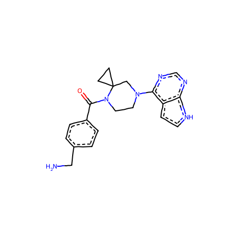 NCc1ccc(C(=O)N2CCN(c3ncnc4[nH]ccc34)CC23CC3)cc1